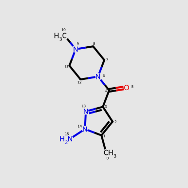 Cc1cc(C(=O)N2CCN(C)CC2)nn1N